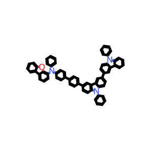 c1ccc(N(c2ccc(-c3ccc(-c4ccc5c(c4)c4cc(-c6ccc7c(c6)c6ccccc6n7-c6ccccc6)ccc4n5-c4ccccc4)cc3)cc2)c2cccc3c2oc2ccccc23)cc1